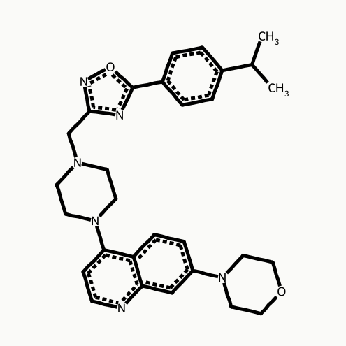 CC(C)c1ccc(-c2nc(CN3CCN(c4ccnc5cc(N6CCOCC6)ccc45)CC3)no2)cc1